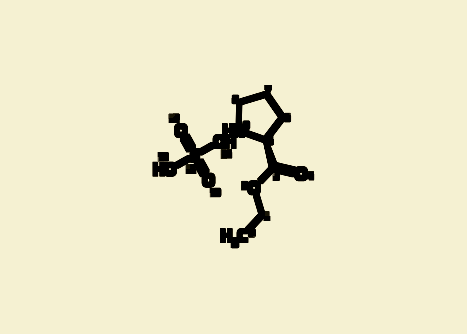 CCOC(=O)[C@@H]1CCCN1.O=S(=O)(O)O